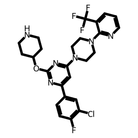 Fc1ccc(-c2cc(N3CCN(c4ncccc4C(F)(F)F)CC3)nc(OC3CCNCC3)n2)cc1Cl